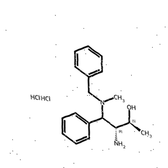 C[C@H](O)[C@H](N)C(c1ccccc1)N(C)Cc1ccccc1.Cl.Cl